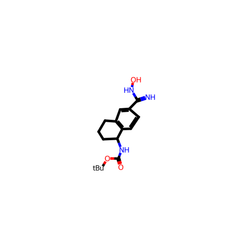 CC(C)(C)OC(=O)NC1CCCc2cc(C(=N)NO)ccc21